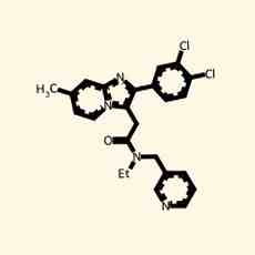 CCN(Cc1cccnc1)C(=O)Cc1c(-c2ccc(Cl)c(Cl)c2)nc2cc(C)ccn12